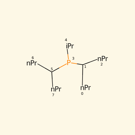 CCCC(CCC)P(C(C)C)C(CCC)CCC